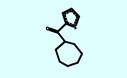 O=C(c1cccs1)C1CCCCCC1